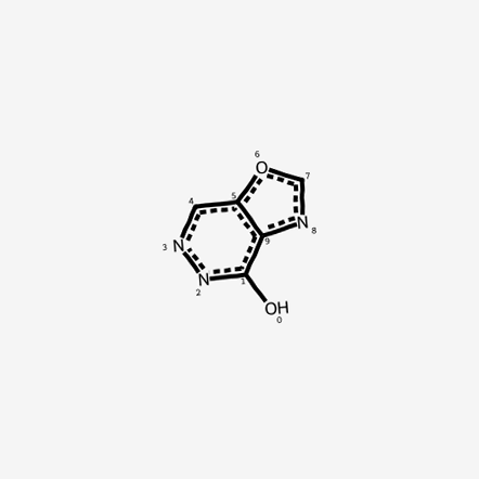 Oc1nncc2ocnc12